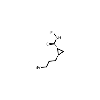 CC(C)CCC[C@@H]1C[C@H]1C(=O)NC(C)C